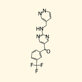 O=C(c1cnc(NCc2ccnnc2)nc1)c1cccc(C(F)(F)F)c1